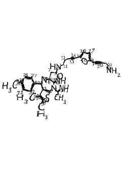 CC(=N)N1C(=N)[C@H](CC(=O)NCCC#Cc2ccc(C#CCN)o2)N=C(c2ccc(C)cc2)c2c1sc(C)c2C